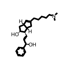 CN(C)CCCCCC1=C[C@H]2C[C@@H](O)[C@H](/C=C/[C@@H](O)c3ccccc3)[C@H]2C1